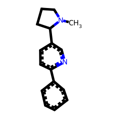 CN1CCCC1c1ccc(-c2ccccc2)nc1